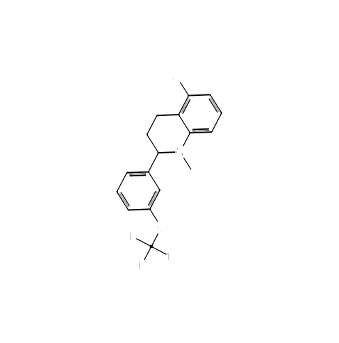 CN1c2cccc(Br)c2CCC1c1cccc(OC(F)(F)F)c1